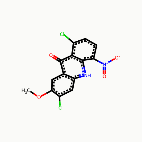 COc1cc2c(=O)c3c(Cl)ccc([N+](=O)[O-])c3[nH]c2cc1Cl